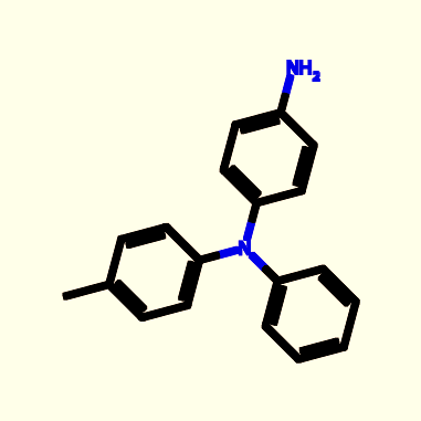 Cc1ccc(N(c2ccccc2)c2ccc(N)cc2)cc1